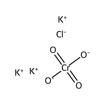 [Cl-].[K+].[K+].[K+].[O]=[Cr](=[O])([O-])[O-]